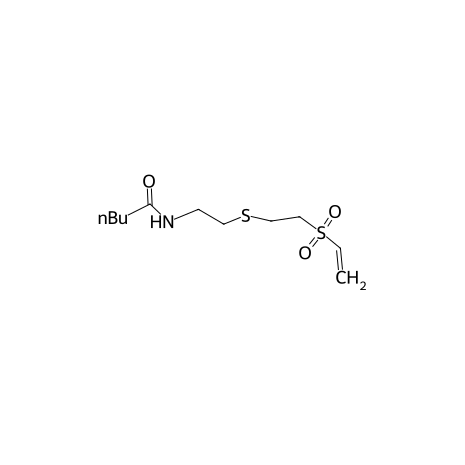 C=CS(=O)(=O)CCSCCNC(=O)CCCC